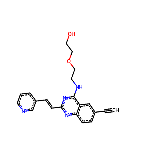 C#Cc1ccc2nc(C=Cc3cccnc3)nc(NCCOCCO)c2c1